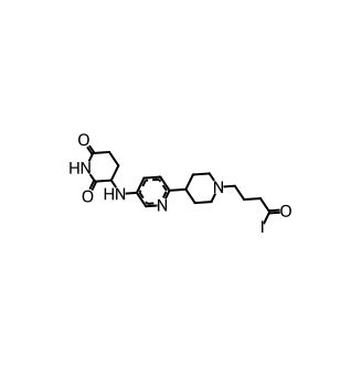 O=C(I)CCCN1CCC(c2ccc(NC3CCC(=O)NC3=O)cn2)CC1